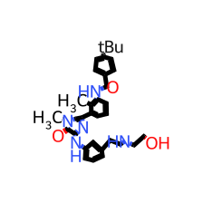 Cc1c(NC(=O)c2ccc(C(C)(C)C)cc2)cccc1-c1cn(C)c(=O)c(Nc2cccc(CCNCCO)c2)n1